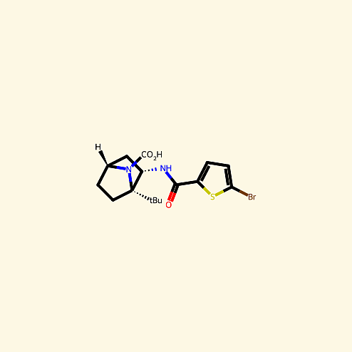 CC(C)(C)[C@@]12CC[C@H](C[C@@H]1NC(=O)c1ccc(Br)s1)N2C(=O)O